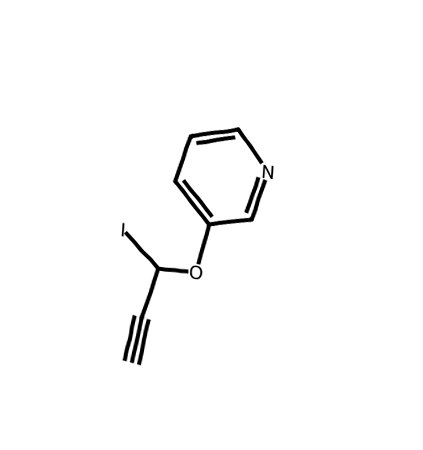 C#CC(I)Oc1cccnc1